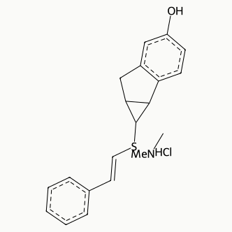 CNC.Cl.Oc1ccc2c(c1)CC1C(SC=Cc3ccccc3)C21